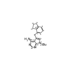 CC(C)(C)n1nc(Cc2cccc3c2CCC3)c2c(N)ncnc21